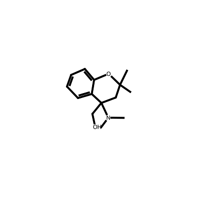 CN(C)C1(CO)CC(C)(C)Oc2ccccc21